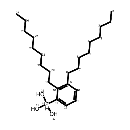 CCCCCCCCCc1cccc([PH](O)(O)O)c1CCCCCCCCC